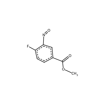 COC(=O)c1ccc(F)c(N=O)c1